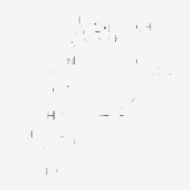 COC1CC(CC(C)C2CCC/C=C/C/C(C)=C/CC3OC(O)(C(=O)C(=O)N4CCCCC4C(=O)O2)C(C)CC3C)CCC1O